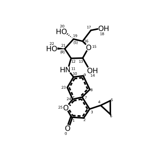 O=c1cc(C2CC2)c2ccc(NC3C(O)OC(CO)[C@@H](O)[C@@H]3O)cc2o1